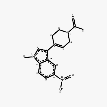 CC(=O)N1CC=C(c2cn(C)c3ccc([N+](=O)[O-])cc23)CC1